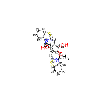 CN1/C(=C\C2=C(O)C(/C=C3/Sc4ccccc4N3C)=C(O)C2=O)Sc2ccccc21